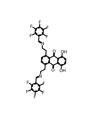 O=C1c2c(O)ccc(O)c2C(=O)c2c(CCN=Cc3c(F)c(F)c(F)c(F)c3F)ccc(CCN=Cc3c(F)c(F)c(F)c(F)c3F)c21